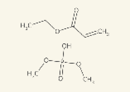 C=CC(=O)OCC.COP(=O)(O)OC